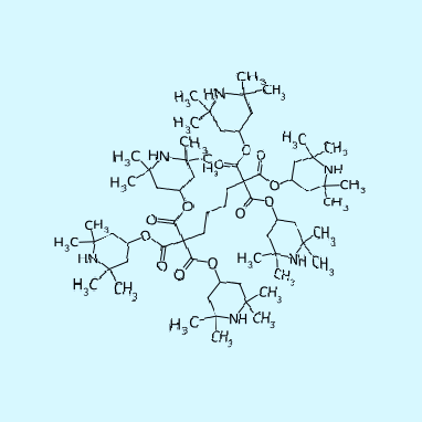 CC1(C)CC(OC(=O)C(CCCCC(C(=O)OC2CC(C)(C)NC(C)(C)C2)(C(=O)OC2CC(C)(C)NC(C)(C)C2)C(=O)OC2CC(C)(C)NC(C)(C)C2)(C(=O)OC2CC(C)(C)NC(C)(C)C2)C(=O)OC2CC(C)(C)NC(C)(C)C2)CC(C)(C)N1